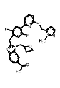 Cn1nccc1COc1cccc(-c2cc(F)c(Cc3nc4ccc(C(=O)O)cc4n3CC3CCO3)cc2F)n1